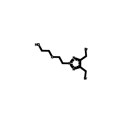 OCCOCCn1nc(CBr)c(CBr)n1